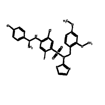 COc1ccc(CN(c2nccs2)S(=O)(=O)c2cc(Cl)c(N[C@@H](N)c3ccc(Cl)cc3)cc2F)c(OC)c1